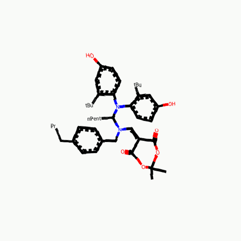 CCCCCC(N(C=C1C(=O)OC(C)(C)OC1=O)Cc1ccc(CC(C)C)cc1)N(c1ccc(O)cc1C(C)(C)C)c1ccc(O)cc1C(C)(C)C